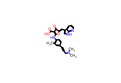 Cc1cc(C#CCN(C)C)ccc1NC1=C(C(=O)O)C(=O)/C(=C/c2c[nH]c3ncccc23)O1